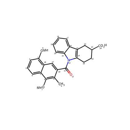 COc1cccc2c(OC)c(C)c(C(=O)n3c4c(c5ccccc53)CC(C(=O)O)CC4)cc12